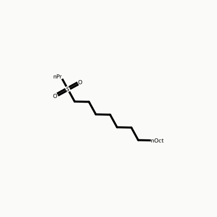 C[CH]CS(=O)(=O)CCCCCCCCCCCCCCC